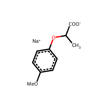 COc1ccc(OC(C)C(=O)[O-])cc1.[Na+]